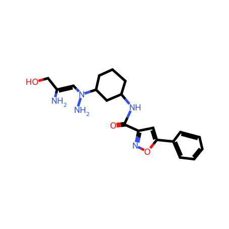 N/C(=C\N(N)C1CCCC(NC(=O)c2cc(-c3ccccc3)on2)C1)CO